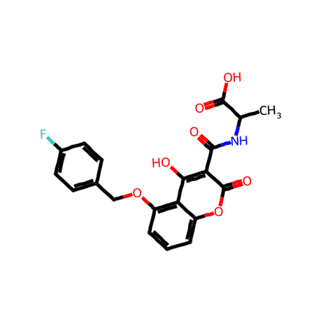 CC(NC(=O)c1c(O)c2c(OCc3ccc(F)cc3)cccc2oc1=O)C(=O)O